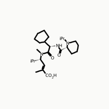 C/C(=C\[C@H](C(C)C)N(C)C(=O)[C@@H](NC(=O)[C@H]1CCCCN1C(C)C)C1CCCCC1)C(=O)O